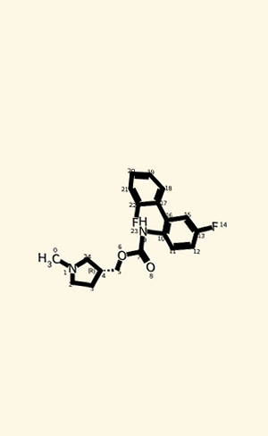 CN1CC[C@@H](COC(=O)Nc2ccc(F)cc2-c2ccccc2F)C1